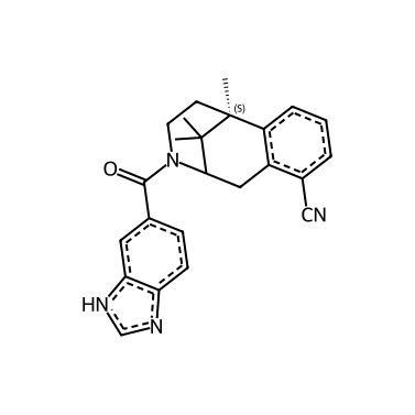 CC1(C)C2Cc3c(C#N)cccc3[C@]1(C)CCN2C(=O)c1ccc2nc[nH]c2c1